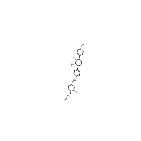 CCCCc1ccc(/C=C/c2ccc(-c3ccc(-c4ccc(CC)cc4)c(F)c3F)cc2)cc1F